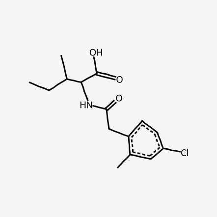 CCC(C)C(NC(=O)Cc1ccc(Cl)cc1C)C(=O)O